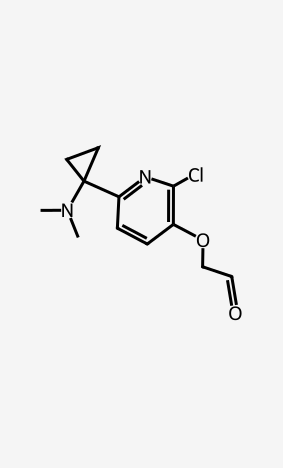 CN(C)C1(c2ccc(OCC=O)c(Cl)n2)CC1